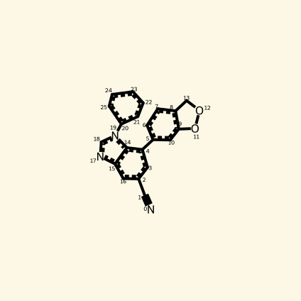 N#Cc1cc(-c2ccc3c(c2)OOC3)c2c(c1)ncn2-c1ccccc1